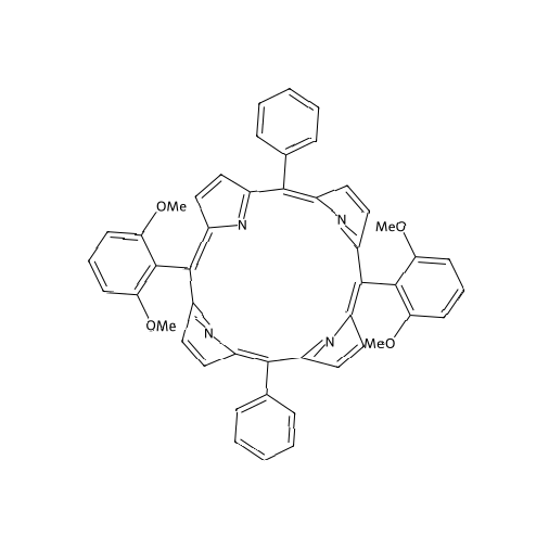 COc1cccc(OC)c1C1=C2C=CC(=N2)C(c2ccccc2)=C2C=CC(=N2)C(c2c(OC)cccc2OC)=C2C=CC(=N2)C(c2ccccc2)=C2C=CC1=N2